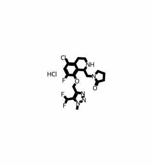 Cl.Cn1nnc(COc2c(F)cc(Cl)c3c2C(CN2CCCC2=O)NCC3)c1C(F)F